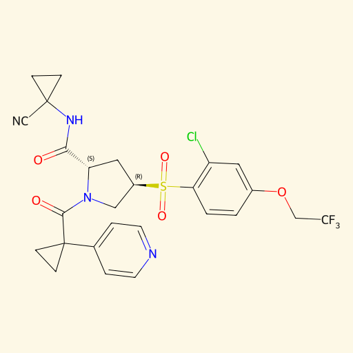 N#CC1(NC(=O)[C@@H]2C[C@@H](S(=O)(=O)c3ccc(OCC(F)(F)F)cc3Cl)CN2C(=O)C2(c3ccncc3)CC2)CC1